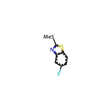 CSc1nc2cc(F)ccc2s1